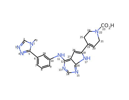 Cn1cnnc1-c1cccc(Nc2ncnc3[nH]c(C4=CCN(C(=O)O)CC4)cc23)c1